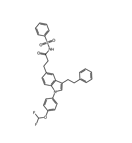 O=C(CCc1ccc2c(c1)c(CCc1ccccc1)cn2-c1ccc(OC(F)F)cc1)NS(=O)(=O)c1ccccc1